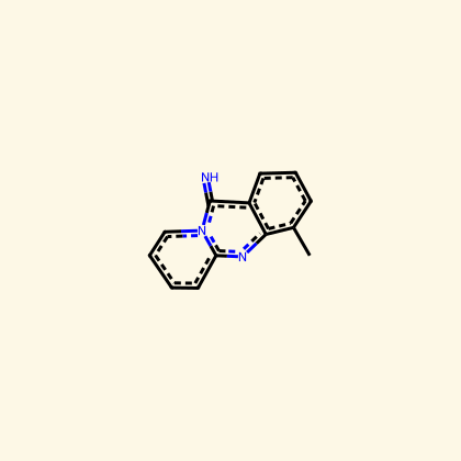 Cc1cccc2c(=N)n3ccccc3nc12